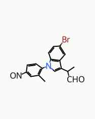 Cc1cc(N=O)ccc1-n1cc(C(C)C=O)c2cc(Br)ccc21